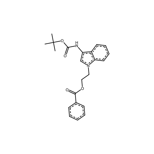 CC(C)(C)OC(=O)Nc1cn(CCOC(=O)c2ccccc2)c2ccccc12